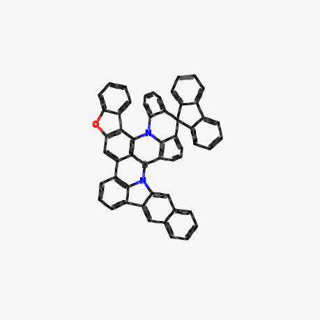 c1ccc2c(c1)-c1ccccc1C21c2ccccc2N2c3c(cccc31)B1c3c(cc4oc5ccccc5c4c32)-c2cccc3c4cc5ccccc5cc4n1c23